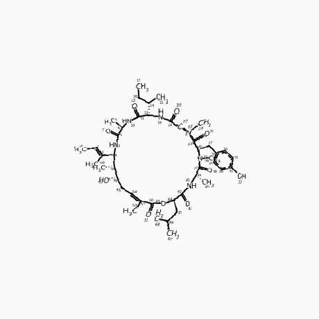 C/C=C(\C)[C@H]1NC(=O)[C@@H](C)NC(=O)[C@H](C(C)CC)NC(=O)CN(C)C(=O)[C@@H](Cc2ccc(O)cc2)N(C)C(=O)[C@H](C)NC(=O)[C@@H](CC(C)C)OC(=O)/C(C)=C/C[C@H](O)[C@@H]1C